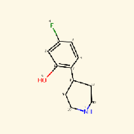 Oc1cc(F)ccc1C1CCNCC1